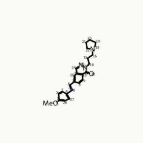 COc1ccc(/C=C/c2ccc3c(=O)n(CCCN4CCCCC4)ncc3c2)cc1